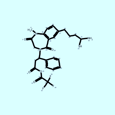 CN1C(=O)CN(C(CC(=O)OC(=O)C(F)(F)F)c2ccccc2)C(=O)c2cc(CCCC(N)S)ccc21